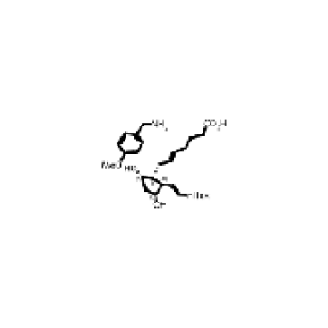 CCCCCCC=C[C@@H]1[C@@H](CC=CCCCC(=O)O)[C@@H](O)C[C@H]1O.COc1ccc(CN)cc1